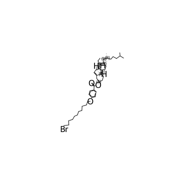 CC(C)CCC[C@@H](C)[C@H]1CC[C@H]2[C@@H]3CC=C4C[C@@H](OC(=O)c5ccc(OCCCCCCCCCCCBr)cc5)CC[C@]4(C)[C@H]3CC[C@]12C